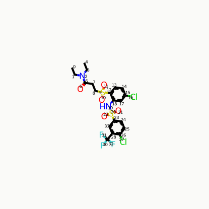 CCN(CC)C(=O)CCS(=O)(=O)c1ccc(Cl)cc1NS(=O)(=O)c1ccc(Cl)c(C(F)(F)F)c1